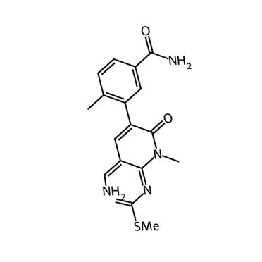 C=C(/N=C1\C(=C/N)C=C(c2cc(C(N)=O)ccc2C)C(=O)N1C)SC